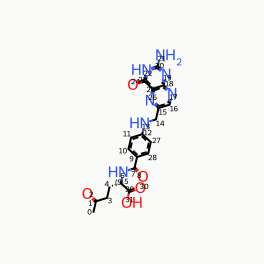 CC(=O)CC[C@H](NC(=O)c1ccc(NCc2cnc3nc(N)[nH]c(=O)c3n2)cc1)C(=O)O